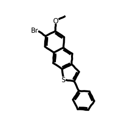 COc1cc2cc3cc(-c4ccccc4)sc3cc2cc1Br